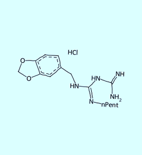 CCCCCN=C(NCc1ccc2c(c1)OCO2)NC(=N)N.Cl